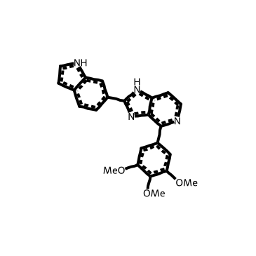 COc1cc(-c2nccc3[nH]c(-c4ccc5cc[nH]c5c4)nc23)cc(OC)c1OC